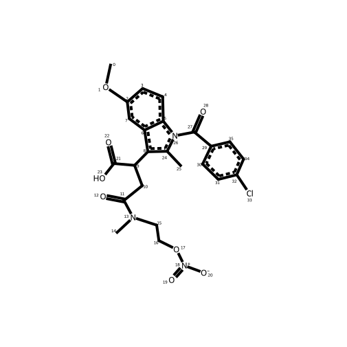 COc1ccc2c(c1)c(C(CC(=O)N(C)CCO[N+](=O)[O-])C(=O)O)c(C)n2C(=O)c1ccc(Cl)cc1